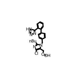 CCCCc1nc(Cl)c(COO)n1Cc1ccc(-c2ccccc2-c2nnn[nH]2)cc1